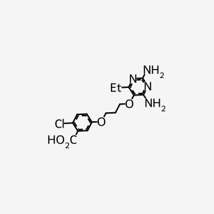 CCc1nc(N)nc(N)c1OCCCOc1ccc(Cl)c(C(=O)O)c1